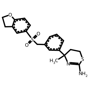 CC1(c2cccc(CS(=O)(=O)c3ccc4c(c3)CCO4)c2)CCSC(N)=N1